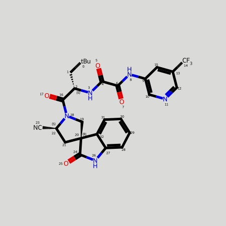 CC(C)(C)C[C@H](NC(=O)C(=O)Nc1cncc(C(F)(F)F)c1)C(=O)N1C[C@]2(C[C@H]1C#N)C(=O)Nc1ccccc12